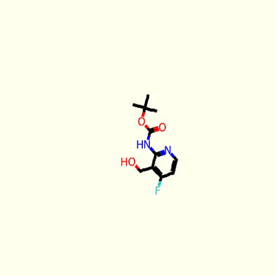 CC(C)(C)OC(=O)Nc1nccc(F)c1CO